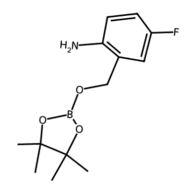 CC1(C)OB(OCc2cc(F)ccc2N)OC1(C)C